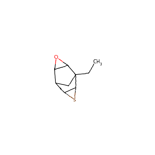 CCC12CC(C3OC31)C1SC12